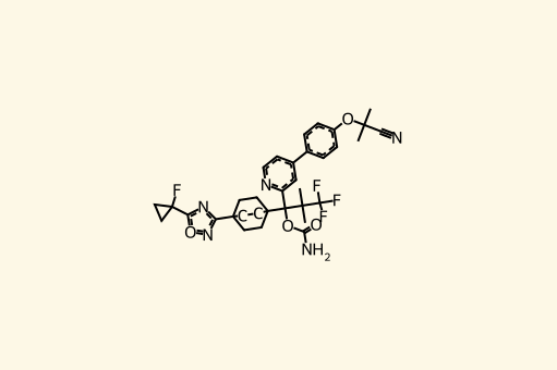 CC(C)(C#N)Oc1ccc(-c2ccnc(C(OC(N)=O)(C34CCC(c5noc(C6(F)CC6)n5)(CC3)CC4)C(C)(C)C(F)(F)F)c2)cc1